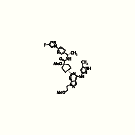 COCCn1ncc2c(Nc3cc(C)[nH]n3)nc([C@H]3CC[C@](OC)(C(=O)N[C@@H](C)c4ccc(-n5cc(F)cn5)nc4)CC3)nc21